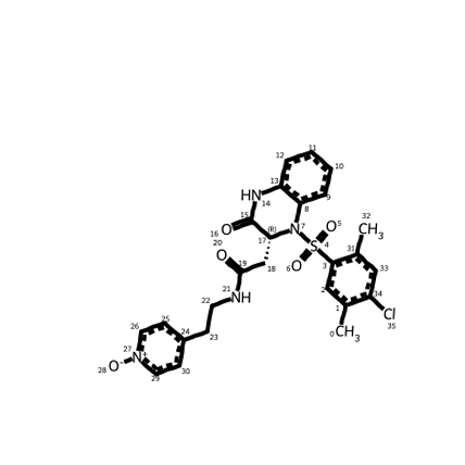 Cc1cc(S(=O)(=O)N2c3ccccc3NC(=O)[C@H]2CC(=O)NCCc2cc[n+]([O-])cc2)c(C)cc1Cl